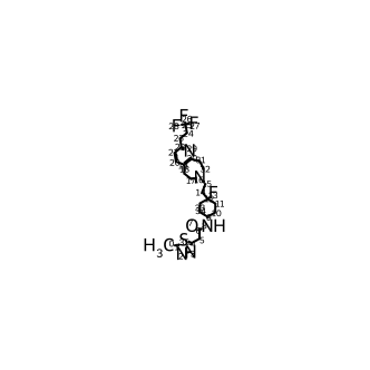 Cc1nnc(CC(=O)NC2CCC(F)(CCN3CCc4ccc(CCC(F)(F)F)nc4CC3)CC2)s1